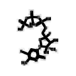 C[C@@]1(O)C(O)[C@@](F)(COP(=O)(O)OP(=O)(O)OP(=O)(O)O)O[C@H]1n1cc(F)c(N)nc1=S